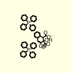 O=C([O-])C1c2ccccc2C=C(O)C1(O)C(=O)[O-].c1ccc([P+](c2ccccc2)(c2ccccc2)c2ccccc2)cc1.c1ccc([P+](c2ccccc2)(c2ccccc2)c2ccccc2)cc1